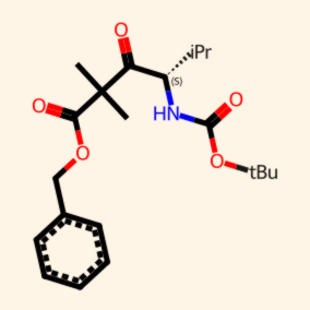 CC(C)[C@H](NC(=O)OC(C)(C)C)C(=O)C(C)(C)C(=O)OCc1ccccc1